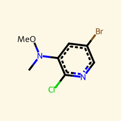 CON(C)c1cc(Br)cnc1Cl